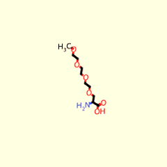 COCCOCCOCCOCC(N)C(=O)O